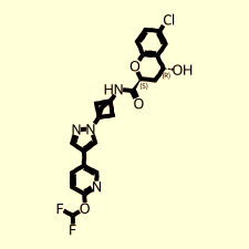 O=C(NC12CC(n3cc(-c4ccc(OC(F)F)nc4)cn3)(C1)C2)[C@@H]1C[C@@H](O)c2cc(Cl)ccc2O1